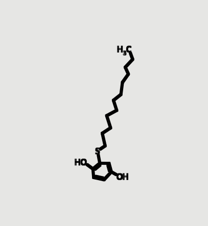 CCCCCCCCCCCCSc1cc(O)ccc1O